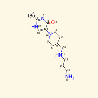 CC(C)(C)c1nc(=O)c(N2CCC(CNCCCN)CC2)c[nH]1